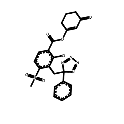 CS(=O)(=O)c1ccc(C(=O)OC2=CC(=O)CCC2)c(Cl)c1CC1(c2ccccc2)N=NN=N1